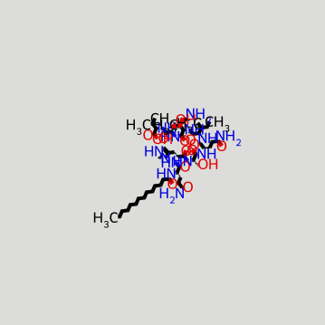 CCCCCCCCCCCCCC(=O)N[C@@H](CCC(N)=O)C(=O)N[C@H](Cc1c[nH]cn1)C(=O)N[C@@H](CO)C(=O)N[C@H](CCC(N)=O)C(=O)N[C@H](C(=O)N[C@@H](C(=O)N[C@@H](CCCCN)C(=O)N[C@@H](C(=O)O)C(C)C)C(C)O)C(C)CC